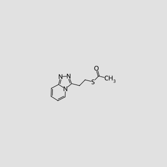 CC(=O)SCCc1nnc2ccccn12